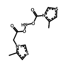 Cc1csc[n+]1CC(=O)ONOC(=O)[n+]1cscc1C